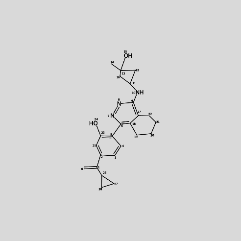 C=C(c1ccc(-c2nnc(NC3CC(C)(O)C3)c3c2CCCC3)c(O)c1)C1CC1